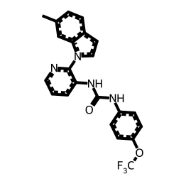 Cc1ccc2ccn(-c3ncccc3NC(=O)Nc3ccc(OC(F)(F)F)cc3)c2c1